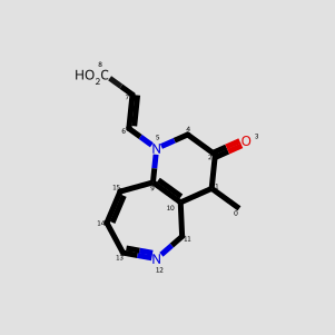 CC1C(=O)CN(C=CC(=O)O)C2=C1CN=CC=C2